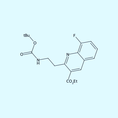 CCOC(=O)c1cc2cccc(F)c2nc1CCNC(=O)OC(C)(C)C